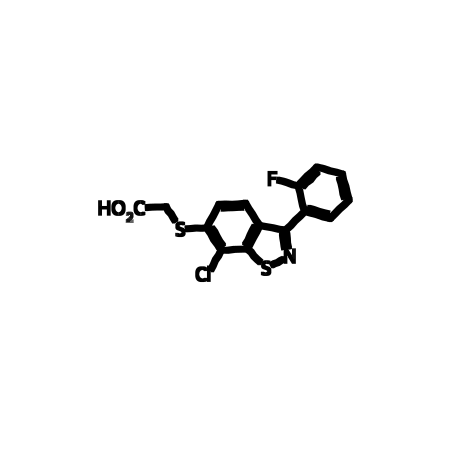 O=C(O)CSc1ccc2c(-c3ccccc3F)nsc2c1Cl